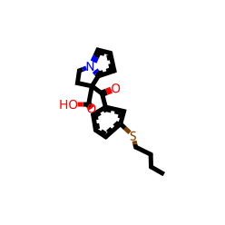 CCCCSc1cccc(C(=O)C2(C(=O)O)CCn3cccc32)c1